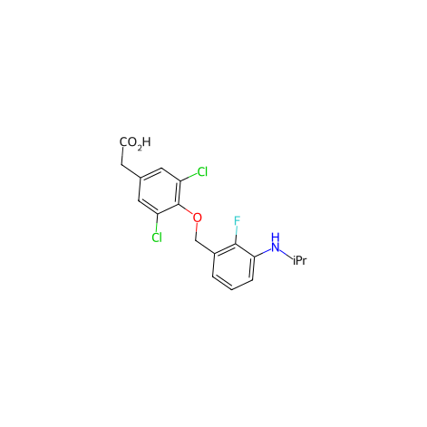 CC(C)Nc1cccc(COc2c(Cl)cc(CC(=O)O)cc2Cl)c1F